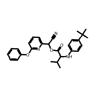 CC(C)C(Nc1ccc(C(C)(C)C)cc1)C(=O)OC(C#N)c1cccc(Oc2ccccc2)n1